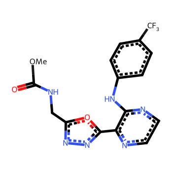 COC(=O)NCc1nnc(-c2nccnc2Nc2ccc(C(F)(F)F)cc2)o1